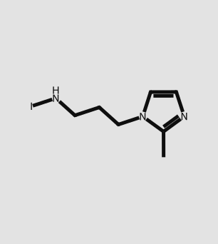 Cc1nccn1CCCNI